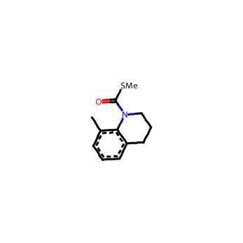 CSC(=O)N1CCCc2cccc(C)c21